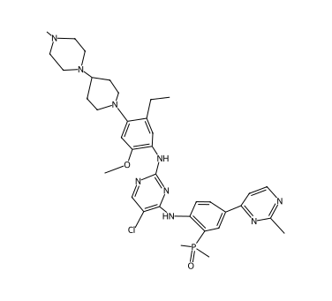 CCc1cc(Nc2ncc(Cl)c(Nc3ccc(-c4ccnc(C)n4)cc3P(C)(C)=O)n2)c(OC)cc1N1CCC(N2CCN(C)CC2)CC1